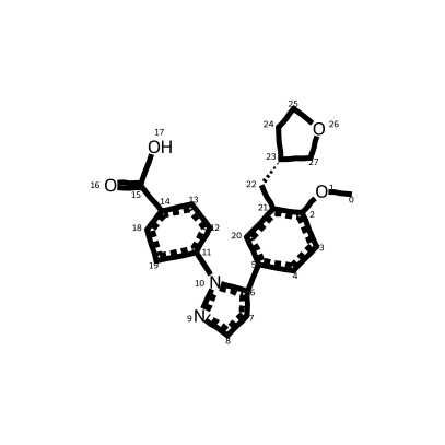 COc1ccc(-c2ccnn2-c2ccc(C(=O)O)cc2)cc1C[C@@H]1CCOC1